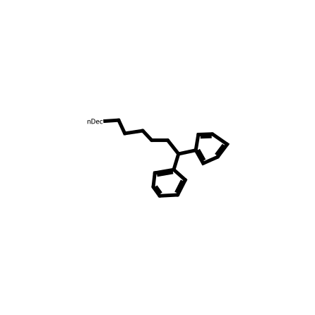 CCCCCCCCCCCCCCCC(c1ccccc1)c1ccccc1